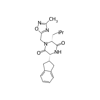 Cc1noc(CN2C(=O)[C@@H](C3Cc4ccccc4C3)NC(=O)[C@H]2CC(C)C)n1